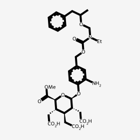 CCN(COC(C)Cc1ccccc1)C(=O)OCc1ccc(O[C@@H]2O[C@H](C(=O)OC)[C@@H](CC(=O)O)[C@H](CC(=O)O)[C@H]2CC(=O)O)c(N)c1